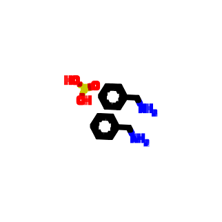 NCc1ccccc1.NCc1ccccc1.O=S(O)O